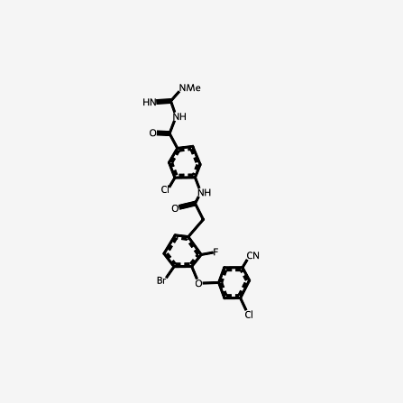 CNC(=N)NC(=O)c1ccc(NC(=O)Cc2ccc(Br)c(Oc3cc(Cl)cc(C#N)c3)c2F)c(Cl)c1